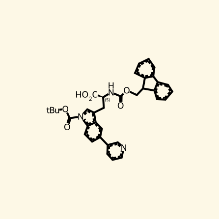 CC(C)(C)OC(=O)n1cc(C[C@H](NC(=O)OCC2c3ccccc3-c3ccccc32)C(=O)O)c2cc(-c3cccnc3)ccc21